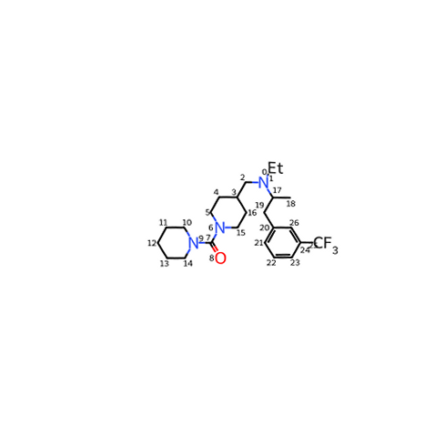 CCN(CC1CCN(C(=O)N2CCCCC2)CC1)C(C)Cc1cccc(C(F)(F)F)c1